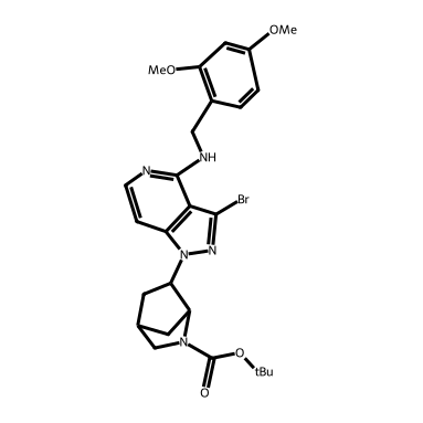 COc1ccc(CNc2nccc3c2c(Br)nn3C2CC3CC2N(C(=O)OC(C)(C)C)C3)c(OC)c1